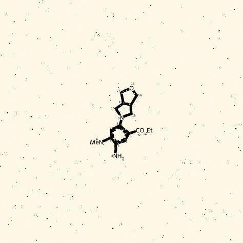 CCOC(=O)c1cc(N)c(NC)cc1N1CC2COCC2C1